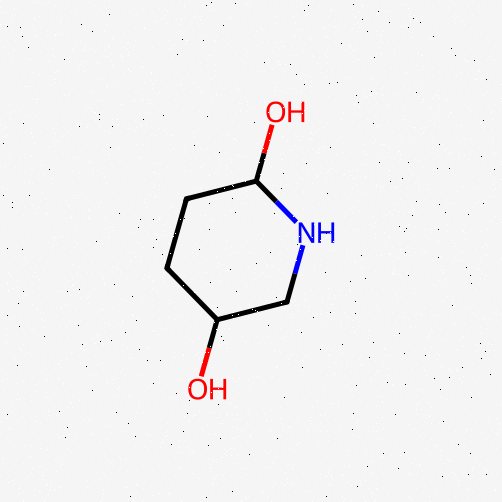 OC1CCC(O)NC1